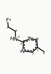 Cc1cnc(NCCF)nc1